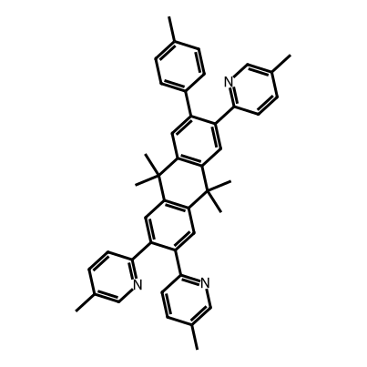 Cc1ccc(-c2cc3c(cc2-c2ccc(C)cn2)C(C)(C)c2cc(-c4ccc(C)cn4)c(-c4ccc(C)cn4)cc2C3(C)C)cc1